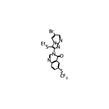 CCSc1c(-n2cnc3ccc(SC(F)(F)F)cc3c2=O)nc2ncc(Br)cn12